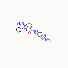 Nc1nc2ccc(CNC(=O)c3cccn4c(N)c(-c5ccccc5)nc34)cc2s1